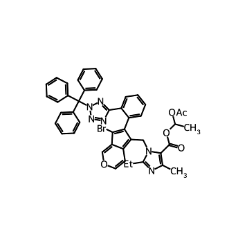 CCc1nc(C)c(C(=O)OC(C)OC(C)=O)n1Cc1c2ccocc-2c(Br)c1-c1ccccc1-c1nnn(C(c2ccccc2)(c2ccccc2)c2ccccc2)n1